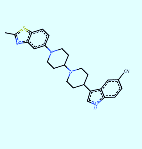 Cc1nc2cc(N3CCC(N4CCC(c5c[nH]c6ccc(C#N)cc56)CC4)CC3)ccc2s1